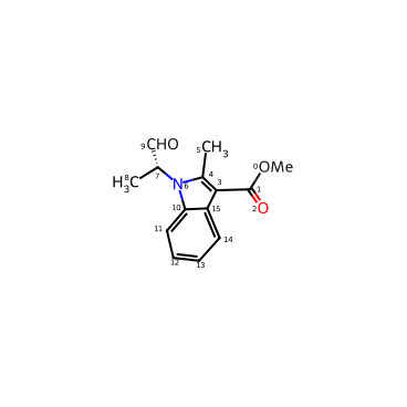 COC(=O)c1c(C)n([C@H](C)C=O)c2ccccc12